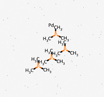 CP(C)C.CP(C)C.CP(C)C.CP(C)C.[Pd]